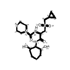 O=C(NC1C(O)CCC[C@H]1O)C(CS(=O)(=O)CC1CC1)NC(=O)N1CCOCC1